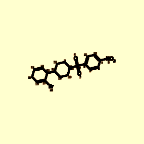 O=[N+]([O-])c1ccc(S(=O)(=O)N2CCC(C3C=CCC=C3Br)CC2)cc1